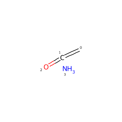 C=C=O.N